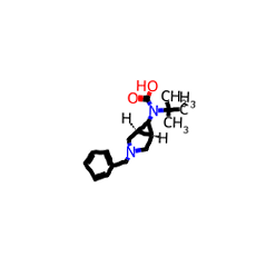 CC(C)(C)N(C(=O)O)C1[C@H]2CN(Cc3ccccc3)C[C@@H]12